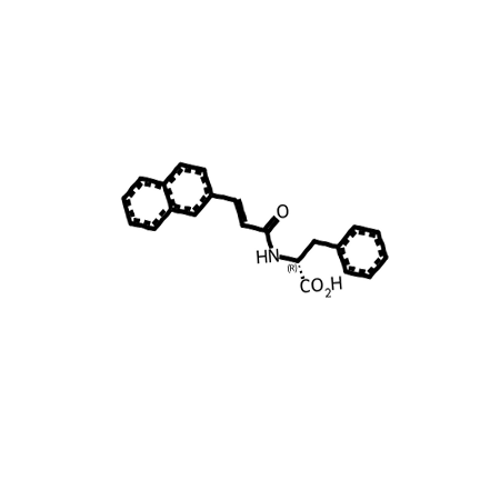 O=C(C=Cc1ccc2ccccc2c1)N[C@H](Cc1ccccc1)C(=O)O